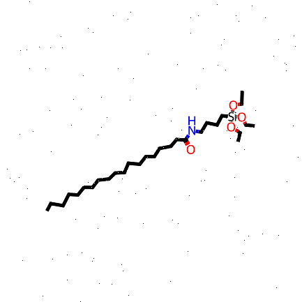 CCCCCCCCCCCCCCCCCCC(=O)NCCCC[Si](OCC)(OCC)OCC